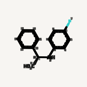 O=C(O)[C@H]([AsH]c1ccc(F)cc1)c1ccccc1